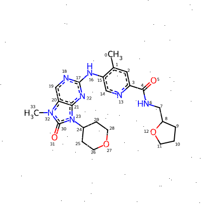 Cc1cc(C(=O)NCC2CCCO2)ncc1Nc1ncc2c(n1)n(C1CCOCC1)c(=O)n2C